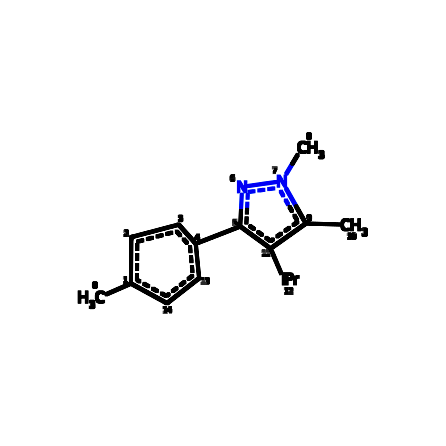 Cc1ccc(-c2nn(C)c(C)c2C(C)C)cc1